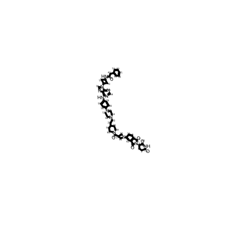 O=C1CC[C@H](N2C(=O)c3ccc(N4CC(C(=O)N5CCC(CCN6CCN(c7ccc(Nc8ncnc9c8ncn9C8CC(NC(=O)Cc9ccccc9)C8)cc7)CC6)CC5)C4)cc3C2=O)C(=O)N1